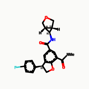 CNC(=O)c1cc(C(=O)N[C@H]2[C@@H]3COC[C@@H]32)cc2c1OC[C@H]2c1ccc(F)cc1